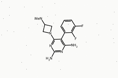 CNC1CN(c2nc(N)nc(N)c2-c2cccc(F)c2F)C1